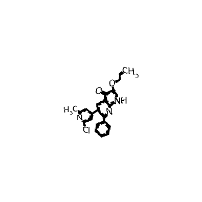 C=CCOc1c[nH]c2nc(-c3ccccc3)c(-c3cc(C)nc(Cl)c3)cc2c1=O